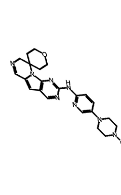 CN1CCN(c2ccc(Nc3ncc4cc5n(c4n3)C3(CCOCC3)CN=C5)nc2)CC1